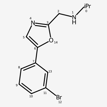 CC(C)NCc1ncc(-c2cccc(Br)c2)o1